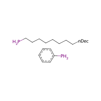 CCCCCCCCCCCCCCCCCCP.Pc1ccccc1